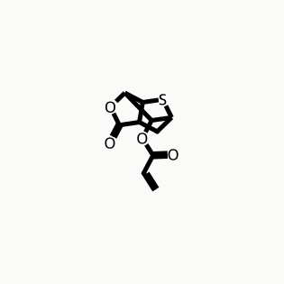 C=CC(=O)OC1C2CC3C(=O)OC1C3S2